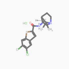 CC1(C)[C@@H](NC(=O)c2cc3cc(Cl)c(Cl)cc3s2)C2CCN1CC2.Cl